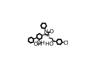 O=C1[C@H](CC[C@H](O)c2ccc(Cl)cc2)[C@@H](c2ccc(-c3ccccc3O)c(O)c2)N1c1ccccc1